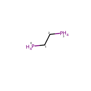 [PH4]CC[PH4]